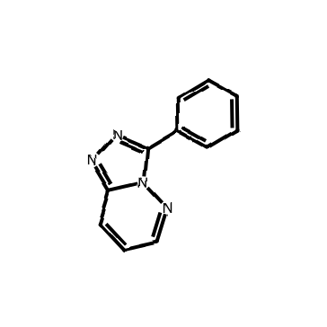 c1ccc(-c2nnc3cccnn23)cc1